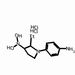 CCC1C(N(O)O)CCN1c1ccc(N)cc1.Cl.Cl